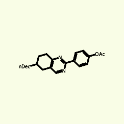 CCCCCCCCCCC1CCc2nc(-c3ccc(OC(C)=O)cc3)ncc2C1